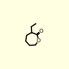 CC[C]1CCCCOC1=O